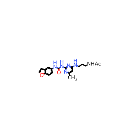 CC(=O)NCCCNc1cc(C)nc(NC(=O)Nc2ccc3occc3c2)n1